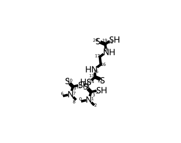 CN(C)C(=S)S.CN(C)C(=S)S.S=C(S)NCCNC(=S)S